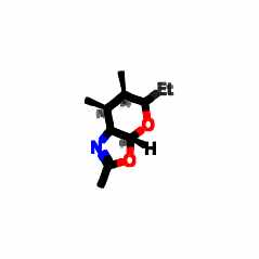 CCC1O[C@@H]2OC(C)=NC2[C@@H](C)[C@H]1C